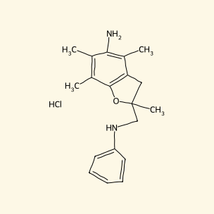 Cc1c(C)c2c(c(C)c1N)CC(C)(CNc1ccccc1)O2.Cl